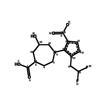 O=C(O)N1CCN(c2c([N+](=O)[O-])cnn2CC(F)F)CC(O)C1